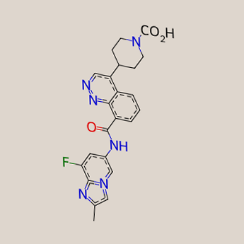 Cc1cn2cc(NC(=O)c3cccc4c(C5CCN(C(=O)O)CC5)cnnc34)cc(F)c2n1